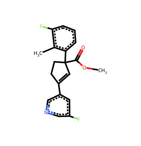 COC(=O)C1(c2cccc(F)c2C)C=C(c2cncc(F)c2)CC1